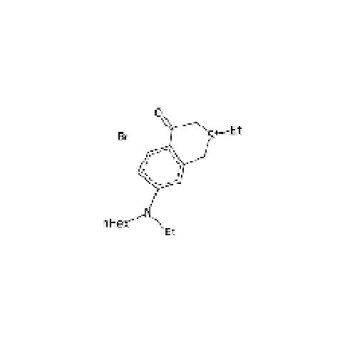 CCCCCCN(CC)c1ccc2c(c1)C[S+](CC)CC2=O.[Br-]